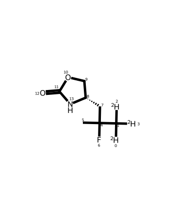 [2H]C([2H])([2H])C(C)(F)C[C@H]1COC(=O)N1